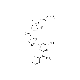 CN(c1ccccc1)c1nc(N)nc(-c2noc(C(=O)N3C[C@H]4[C@H](COCC(F)(F)F)[C@@]4(F)C3)n2)n1